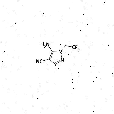 Cc1nn(CC(F)(F)F)c(N)c1C#N